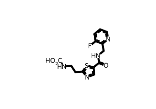 O=C(O)NCCc1ncc(C(=O)NCc2ncccc2F)s1